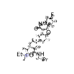 C=C(/C=C(/C)CC)c1ccc(-c2ccc3oc(-c4ccc(F)cc4)c(C(=O)NC)c3c2)cc1C(=O)NCC(C)C